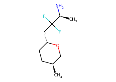 C[C@H]1CC[C@H](CC(F)(F)[C@H](C)N)OC1